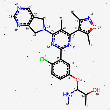 CNC(Oc1ccc(Cl)c(-c2nc(-c3c(C)noc3C)c(C)c(N3Cc4cncnc4C3)n2)c1)C(C)O